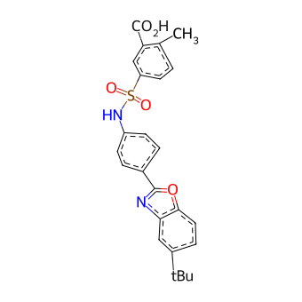 Cc1ccc(S(=O)(=O)Nc2ccc(-c3nc4cc(C(C)(C)C)ccc4o3)cc2)cc1C(=O)O